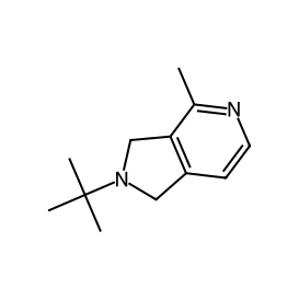 Cc1nccc2c1CN(C(C)(C)C)C2